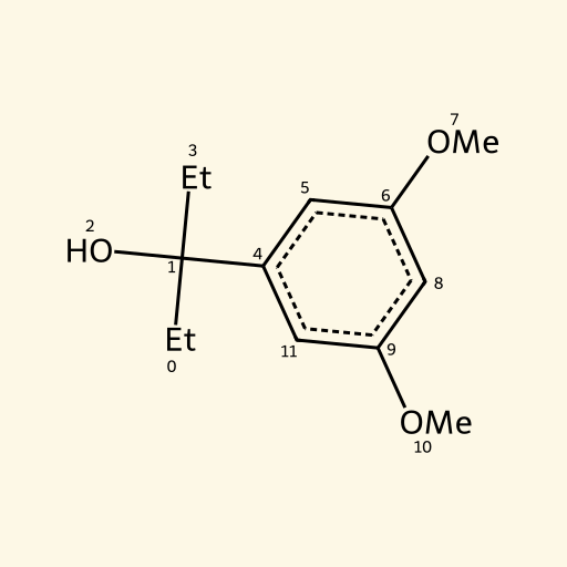 CCC(O)(CC)c1cc(OC)cc(OC)c1